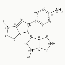 CN1CCC2CN(c3ccc(N)cc3)C=C21.CN1CCC2CNCC21